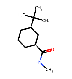 CNC(=O)[C@H]1CCC[C@@H](C(C)(C)C)C1